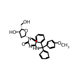 COc1ccc(C(Nc2ccn([C@@H]3C[C@@H](O)[C@H](CO)O3)c(=O)n2)(c2ccccc2)c2ccccc2)cc1